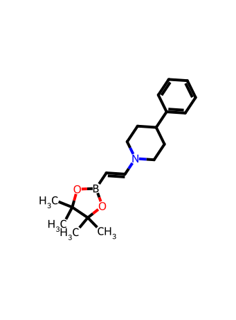 CC1(C)OB(C=CN2CCC(c3ccccc3)CC2)OC1(C)C